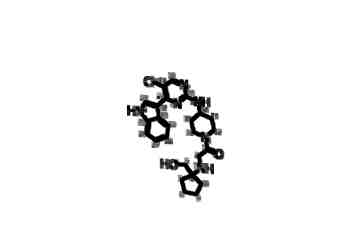 O=C(CNC1(CO)CCCC1)N1CCC(Nc2ncc(Cl)c(-c3c[nH]c4ccccc34)n2)CC1